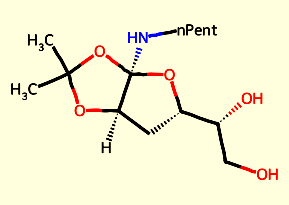 CCCCCN[C@]12O[C@H]([C@H](O)CO)C[C@H]1OC(C)(C)O2